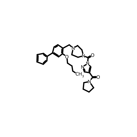 CCCCOc1cc(-c2ccccc2)ccc1CN1CCN(C(=O)n2cc(C(=O)N3CCCC3)cn2)CC1